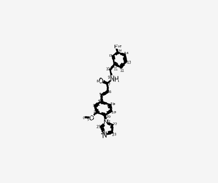 COc1cc(/C=C/C(=O)NCc2cccc(F)c2)ccc1-n1ccnc1